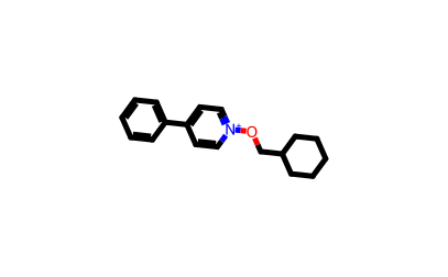 c1ccc(-c2cc[n+](OCC3CCCCC3)cc2)cc1